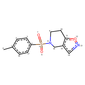 Cc1ccc(S(=O)(=O)N2CCc3oncc3C2)cc1